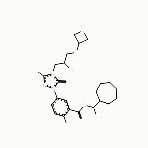 Cc1nn(-c2ccc(Cl)c(C(=O)NC(O)C3CCCCCC3)c2)c(=O)n1CC(O)COC1CNC1